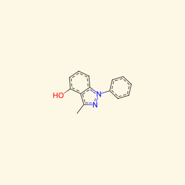 Cc1nn(-c2ccccc2)c2cccc(O)c12